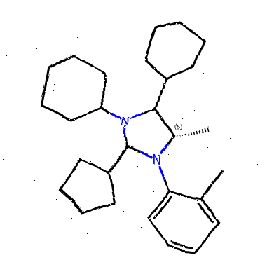 Cc1ccccc1N1C(C2CCCC2)N(C2CCCCC2)C(C2CCCCC2)[C@@H]1C